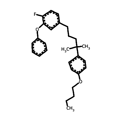 CCCCOc1ccc(C(C)(C)CCCc2ccc(F)c(Oc3ccccc3)c2)cc1